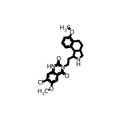 COc1cc2c(=O)n(CCC3NCC4CCc5c(OC)cccc5C43)c(=O)[nH]c2cc1Cl